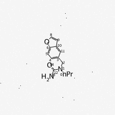 CCCN(Cc1ccc2occc2c1)C(N)=O